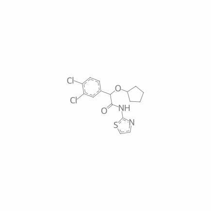 O=C(Nc1nccs1)C(OC1CCCC1)c1ccc(Cl)c(Cl)c1